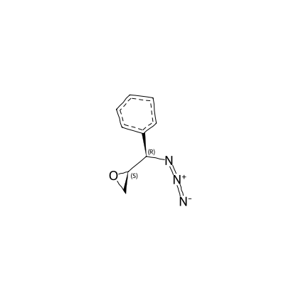 [N-]=[N+]=N[C@H](c1ccccc1)[C@H]1CO1